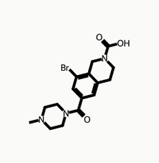 CN1CCN(C(=O)c2cc(Br)c3c(c2)CCN(C(=O)O)C3)CC1